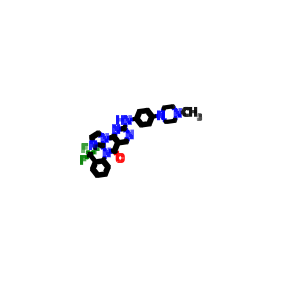 CN1CCN(c2ccc(Nc3ncc4c(=O)n(-c5ccccc5C(F)(F)F)c5nccn5c4n3)cc2)CC1